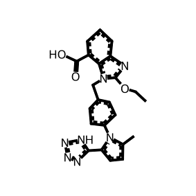 CCOc1nc2cccc(C(=O)O)c2n1Cc1ccc(-n2c(C)ccc2-c2nnn[nH]2)cc1